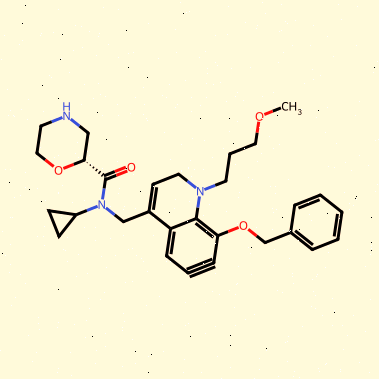 COCCCN1CC=C(CN(C(=O)[C@H]2CNCCO2)C2CC2)c2cc#cc(OCc3ccccc3)c21